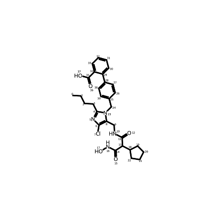 CCCCc1nc(Cl)c(CNC(=O)C(C(=O)NO)C2CCCC2)n1Cc1ccc(-c2ccccc2C(=O)O)cc1